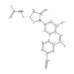 CC(=O)NC[C@H]1CN(c2ccc(/C=C(/C)c3cncc(C#N)c3)c(F)c2)C(=O)O1